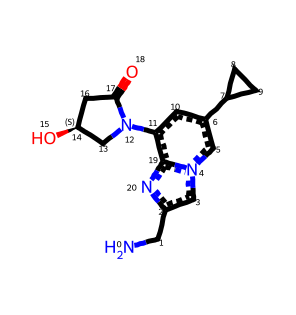 NCc1cn2cc(C3CC3)cc(N3C[C@@H](O)CC3=O)c2n1